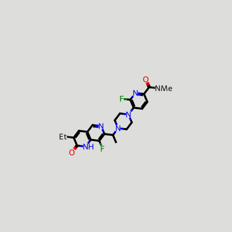 CCc1cc2cnc(C(C)N3CCN(c4ccc(C(=O)NC)nc4F)CC3)c(F)c2[nH]c1=O